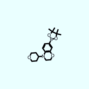 CC1(C)OB(c2ccc3c(c2)OCCN3C2CCOCC2)OC1(C)C